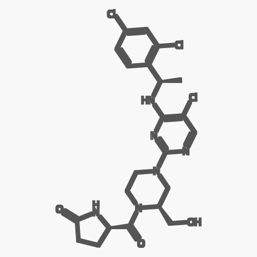 C[C@@H](Nc1nc(N2CCN(C(=O)[C@H]3CCC(=O)N3)[C@H](CO)C2)ncc1Cl)c1ccc(Cl)cc1Cl